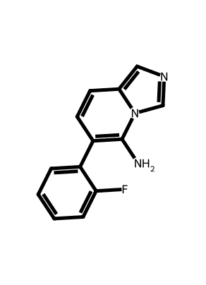 Nc1c(-c2ccccc2F)ccc2cncn12